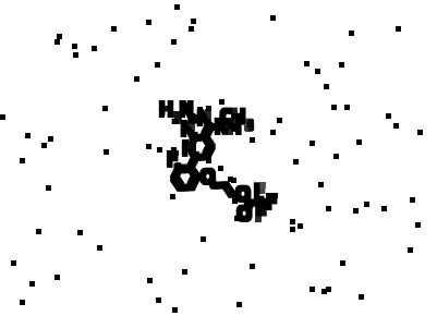 CNc1nc(N)nc2nc(-c3c(F)cccc3OCCCOC(=O)C(F)(F)F)ccc12